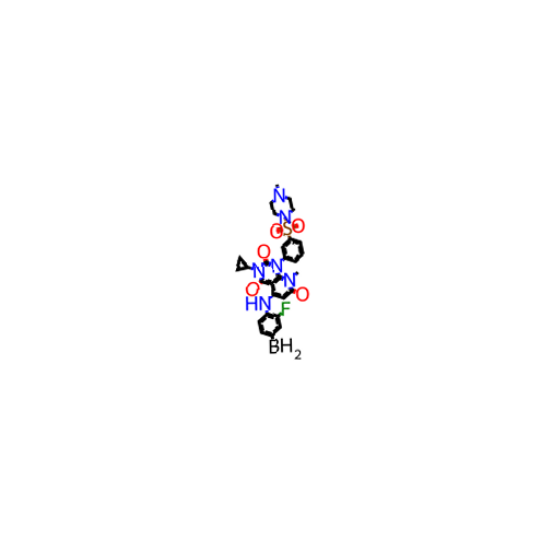 Bc1ccc(Nc2cc(=O)n(C)c3c2c(=O)n(C2CC2)c(=O)n3-c2cccc(S(=O)(=O)N3CCN(C)CC3)c2)c(F)c1